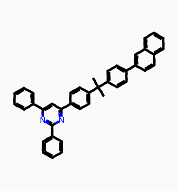 CC(C)(c1ccc(-c2ccc3ccccc3c2)cc1)c1ccc(-c2cc(-c3ccccc3)nc(C3=C=C=CC=C3)n2)cc1